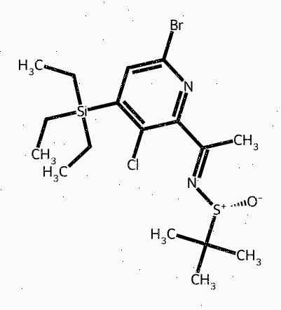 CC[Si](CC)(CC)c1cc(Br)nc(/C(C)=N/[S@+]([O-])C(C)(C)C)c1Cl